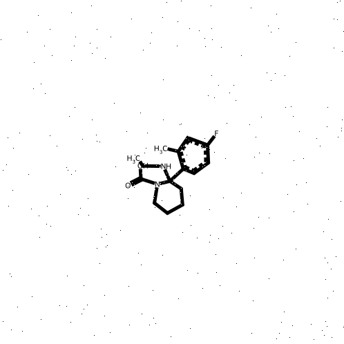 CCNC1(c2ccc(F)cc2C)CCCCN1C(=O)O